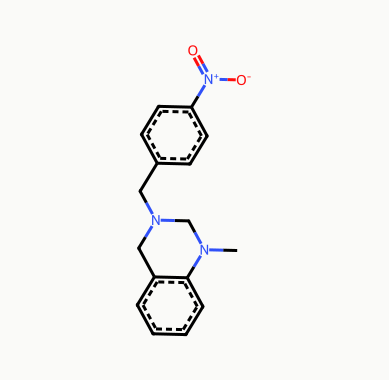 CN1CN(Cc2ccc([N+](=O)[O-])cc2)Cc2ccccc21